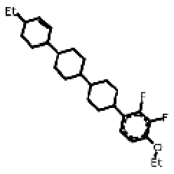 CCOc1ccc(C2CCC(C3CCC(C4C=CC(CC)CC4)CC3)CC2)c(F)c1F